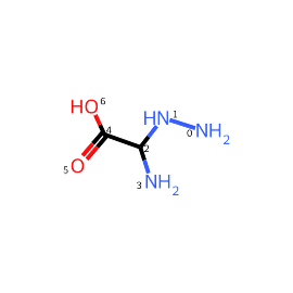 NNC(N)C(=O)O